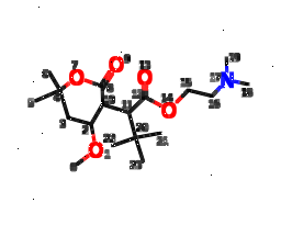 COC1CC(C)(C)OC(=O)C1C(C(=O)OCCN(C)C)C(C)(C)C